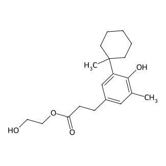 Cc1cc(CCC(=O)OCCO)cc(C2(C)CCCCC2)c1O